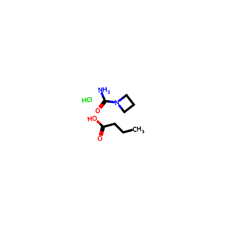 CCCC(=O)O.Cl.NC(=O)N1CCC1